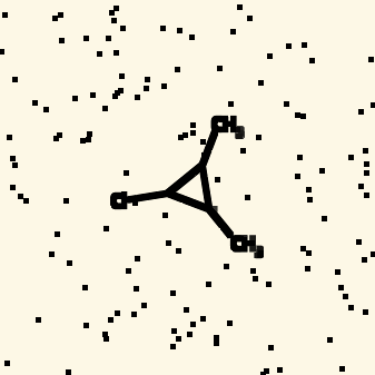 C[C]1C(C)C1Cl